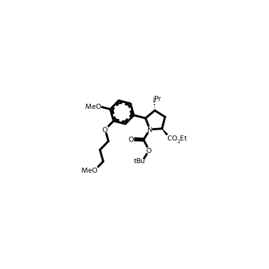 CCOC(=O)[C@@H]1C[C@@H](C(C)C)C(c2ccc(OC)c(OCCCOC)c2)N1C(=O)OC(C)(C)C